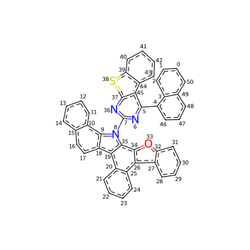 c1ccc2c(-c3nc(-n4c5c6ccccc6ccc5c5c6ccccc6c6c7ccccc7oc6c54)nc4sc5ccccc5c34)cccc2c1